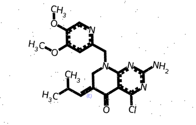 COc1cnc(CN2C/C(=C\C(C)C)C(=O)c3c(Cl)nc(N)nc32)cc1OC